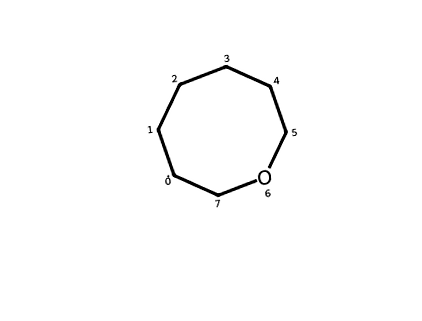 [CH]1CCCCCOC1